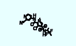 CC(NS(=O)(=O)c1cn(C)c(C(=O)Nc2ccnc(C#N)c2)c1Cl)C(C)(F)F